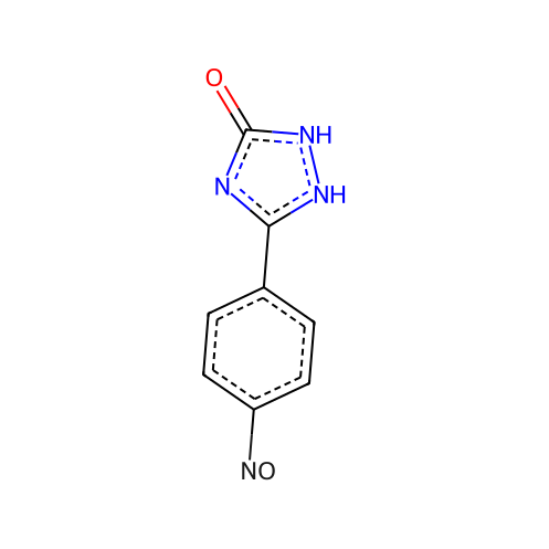 O=Nc1ccc(-c2nc(=O)[nH][nH]2)cc1